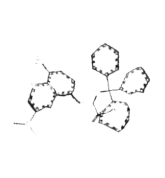 CN(C)c1cnc2c(Br)ccc(C[C@H](NC(c3ccccc3)(c3ccccc3)c3ccccc3)C(=O)O)c2c1